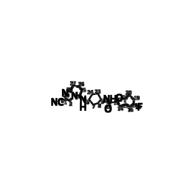 N#Cc1cn2c(N[C@H]3CC[C@@H](NC(=O)c4cc5cc(F)ccc5o4)CC3)cccc2n1